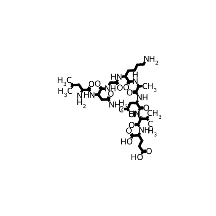 CC(C)CC(N)C(=O)NC(CC(N)=O)C(=O)NCC(=O)NC(CCCCN)C(=O)NC(C)C(=O)NC(CC(C)C)C(=O)NC(C(=O)NC(CCC(=O)O)C(=O)O)C(C)C